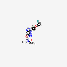 C=CC(=O)N(C)CCC(=O)Nc1ccc2ncnc(Nc3ccc(OCc4cccc(F)c4)c(Cl)c3)c2c1